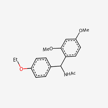 CCOc1ccc(C(NC(C)=O)c2ccc(OC)cc2OC)cc1